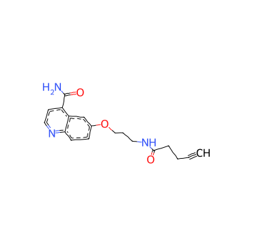 C#CCCC(=O)NCCCOc1ccc2nccc(C(N)=O)c2c1